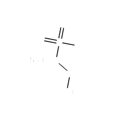 O=S(=O)(O)SSS.[NaH]